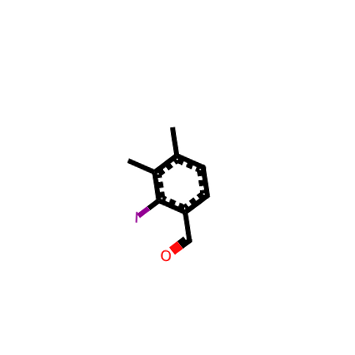 Cc1ccc(C=O)c(I)c1C